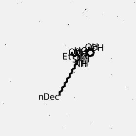 CCCCCCCCCCCCCCCCCCCCCCCCNC(=S)NC(CNC1C=CCC(O)C(O)C1O)C(O)CC(O)CC